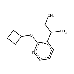 CCC(C)c1cccnc1OC1CCC1